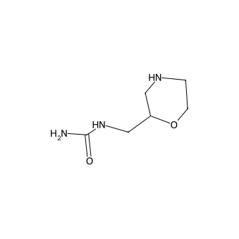 NC(=O)NCC1CNCCO1